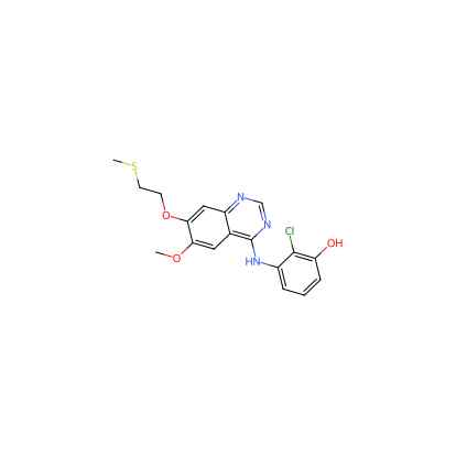 COc1cc2c(Nc3cccc(O)c3Cl)ncnc2cc1OCCSC